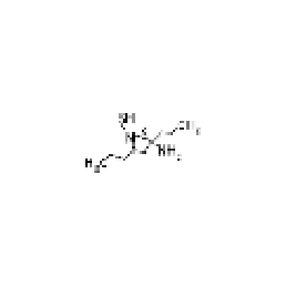 CCCC1CC(N)(CCC)SN1CS